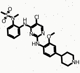 COc1cc(C2CCNCC2)ccc1Nc1ncc(Cl)c(Nc2ccccc2N(C)S(C)(=O)=O)n1